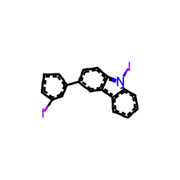 Ic1cccc(-c2ccc3c(c2)c2ccccc2n3I)c1